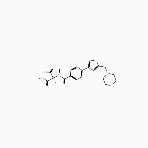 CNC(=O)[C@@](C)(C(=O)NO)N(C)C(=O)c1ccc(-c2coc(CN3CCOCC3)c2)cc1